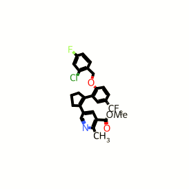 COC(=O)c1cc(C2=C(c3cc(C(F)(F)F)ccc3OCc3ccc(F)cc3Cl)CCC2)cnc1C